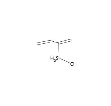 C=CC(=C)[SiH2]Cl